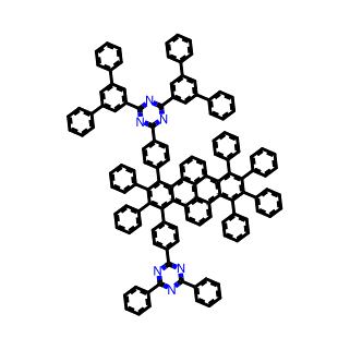 c1ccc(-c2cc(-c3ccccc3)cc(-c3nc(-c4ccc(-c5c(-c6ccccc6)c(-c6ccccc6)c(-c6ccc(-c7nc(-c8ccccc8)nc(-c8ccccc8)n7)cc6)c6c7cccc8c9c(-c%10ccccc%10)c(-c%10ccccc%10)c(-c%10ccccc%10)c(-c%10ccccc%10)c9c9cccc(c56)c9c87)cc4)nc(-c4cc(-c5ccccc5)cc(-c5ccccc5)c4)n3)c2)cc1